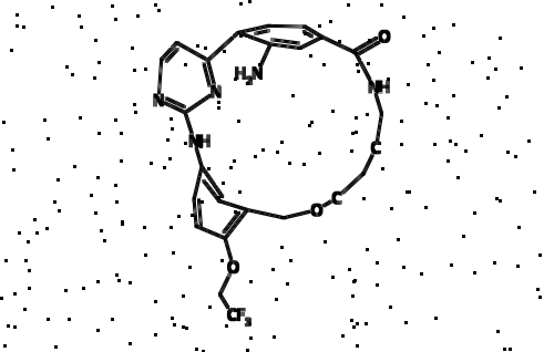 Nc1cc2ccc1-c1ccnc(n1)Nc1ccc(OCC(F)(F)F)c(c1)COCCCCNC2=O